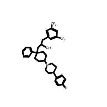 OC(Cc1cc(C(F)(F)F)cc(C(F)(F)F)c1)CC1(c2ccccc2)CCC(N2CCC(c3ccc(F)cc3)CC2)CC1